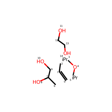 C=CC.CC(C)OC(C)C.CC(O)CO.OCCO